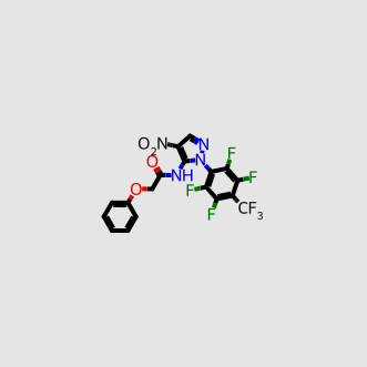 O=C(COc1ccccc1)Nc1c([N+](=O)[O-])cnn1-c1c(F)c(F)c(C(F)(F)F)c(F)c1F